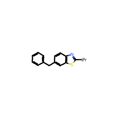 CC(C)c1nc2ccc(Cc3ccccc3)cc2s1